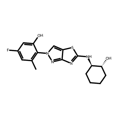 Cc1cc(F)cc(O)c1-n1cc2sc(N[C@@H]3CCCC[C@H]3O)nc2n1